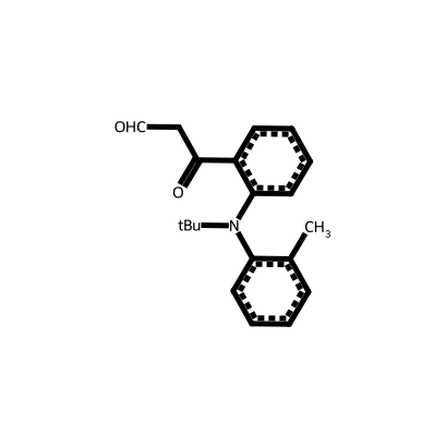 Cc1ccccc1N(c1ccccc1C(=O)CC=O)C(C)(C)C